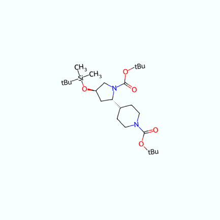 CC(C)(C)OC(=O)N1CCC([C@@H]2C[C@@H](O[Si](C)(C)C(C)(C)C)CN2C(=O)OC(C)(C)C)CC1